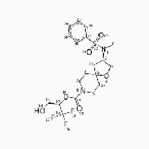 CN([C@H]1COC2(CCN(C(=O)O[C@H](CO)C(F)(F)F)CC2)C1)S(=O)(=O)c1ccccc1